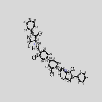 CC1=NN(c2ccccc2)C(=O)/C1=N/Nc1ccc(-c2ccc(N/N=C3/C(=O)N(c4ccccc4)N=C3C)c(Cl)c2)cc1Cl